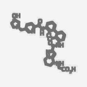 O=C(O)CN[C@@H]1CCCn2nc(C(=O)Nc3cccc(-c4cccc(NC(=O)c5ccc(CN6CC[C@@H](O)C6)cn5)c4Cl)c3Cl)cc21